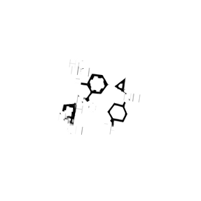 Cl.Cl.Cn1cc(NC(=O)c2cc([C@@H]3C[C@H]3NC3CCC(F)(F)CC3)ccc2F)cn1